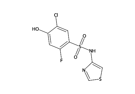 O=S(=O)(Nc1cscn1)c1cc(Cl)c(O)cc1F